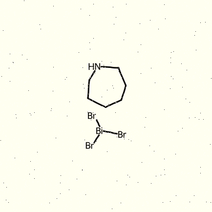 C1CCCNCC1.[Br][Bi]([Br])[Br]